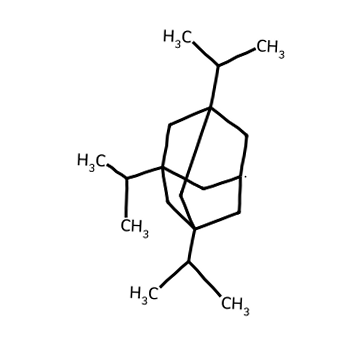 CC(C)C12C[C]3CC(C(C)C)(C1)CC(C(C)C)(C3)C2